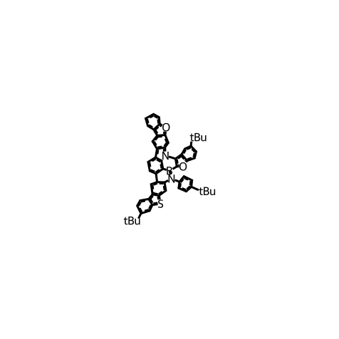 CC(C)(C)c1ccc(N2B3c4oc5ccc(C(C)(C)C)cc5c4-n4c5cc6oc7ccccc7c6cc5c5ccc(c3c54)-c3cc4c(cc32)sc2cc(C(C)(C)C)ccc24)cc1